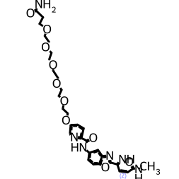 CNC(=O)/C=C\C(=N)c1nc2cc(NC(=O)c3ccc(OCCOCCOCCOCCOCCOCCC(N)=O)cn3)ccc2o1